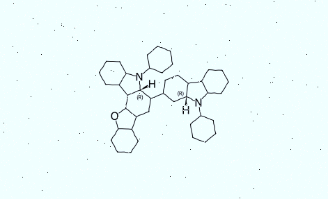 C1CCC(N2C3CCCCC3C3C4OC5CCCCC5C4CC(C4CCC5C6CCCCC6N(C6CCCCC6)[C@@H]5C4)[C@H]32)CC1